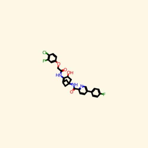 O=C(COc1ccc(Cl)c(F)c1)NC1=C2CC(NC(=O)c3ccc(-c4ccc(F)cc4)cn3)(C2)CC1O